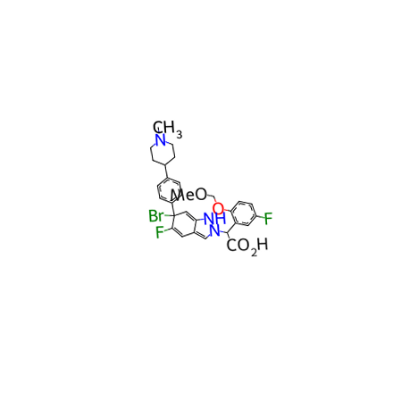 COCOc1ccc(F)cc1C(C(=O)O)N1C=C2C=C(F)C(Br)(c3ccc(C4CCN(C)CC4)cc3)C=C2N1